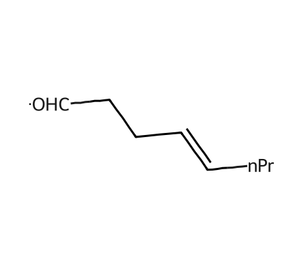 CCCC=CCC[C]=O